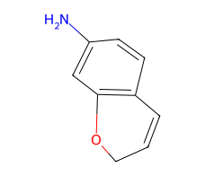 Nc1ccc2c(c1)OCC=C2